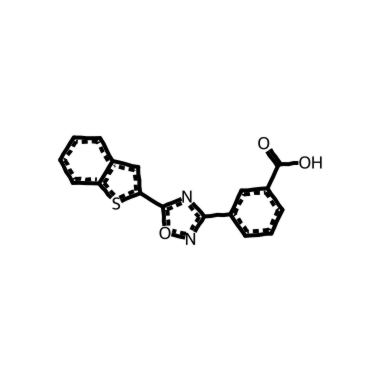 O=C(O)c1cccc(-c2noc(-c3cc4ccccc4s3)n2)c1